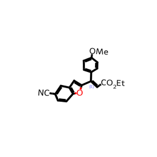 CCOC(=O)/C=C(\c1ccc(OC)cc1)c1cc2cc(C#N)ccc2o1